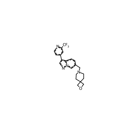 FC(F)(F)c1cc(-c2cnn3cc(CN4CCC5(CC4)COC5)ccc23)ccn1